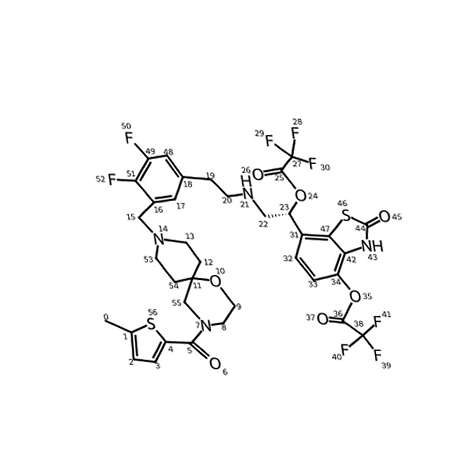 Cc1ccc(C(=O)N2CCOC3(CCN(Cc4cc(CCNC[C@H](OC(=O)C(F)(F)F)c5ccc(OC(=O)C(F)(F)F)c6[nH]c(=O)sc56)cc(F)c4F)CC3)C2)s1